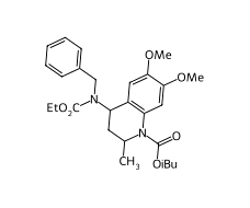 CCOC(=O)N(Cc1ccccc1)C1CC(C)N(C(=O)OCC(C)C)c2cc(OC)c(OC)cc21